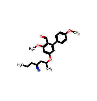 CCCC(=N)CC(C)Oc1cc(OC)c(C=O)c(-c2ccc(OC)cc2)c1